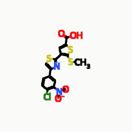 CSc1sc(C(=O)O)cc1-c1nc(-c2ccc(Cl)c([N+](=O)[O-])c2)cs1